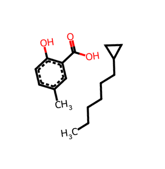 CCCCCCC1CC1.Cc1ccc(O)c(C(=O)O)c1